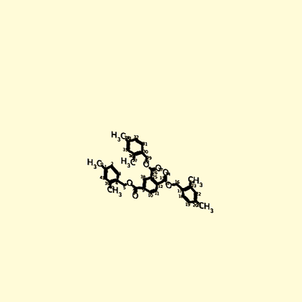 Cc1ccc(COC(=O)c2ccc(C(=O)OCc3ccc(C)cc3C)c(C(=O)OCc3ccc(C)cc3C)c2)c(C)c1